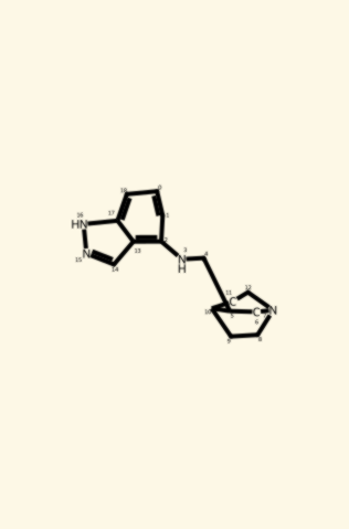 c1cc(NCC2CN3CCC2CC3)c2cn[nH]c2c1